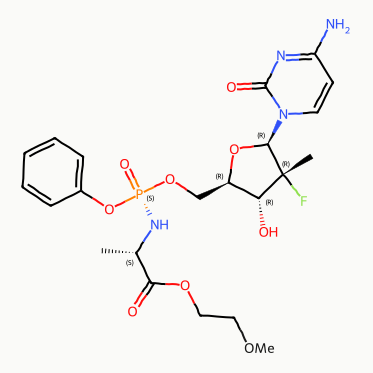 COCCOC(=O)[C@H](C)N[P@](=O)(OC[C@H]1O[C@@H](n2ccc(N)nc2=O)[C@](C)(F)[C@@H]1O)Oc1ccccc1